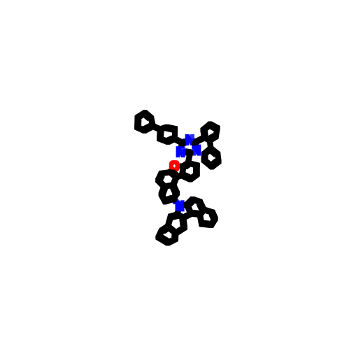 c1ccc(-c2ccc(-c3nc(-c4ccccc4-c4ccccc4)nc(-c4cccc5c4oc4ccc6ccc(-n7c8cc9ccccc9cc8c8c9ccccc9ccc87)cc6c45)n3)cc2)cc1